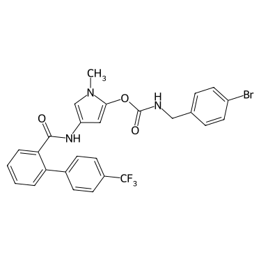 Cn1cc(NC(=O)c2ccccc2-c2ccc(C(F)(F)F)cc2)cc1OC(=O)NCc1ccc(Br)cc1